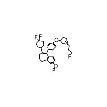 FCCCN1CCC(Oc2ccc(C3=C(C4CCC(F)(F)CC4)CCCc4cc(OF)ccc43)cc2)C1